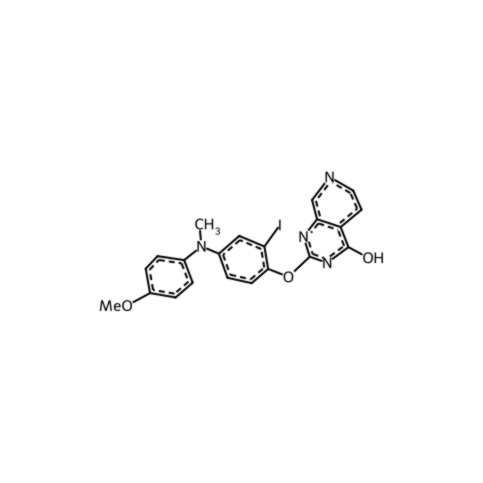 COc1ccc(N(C)c2ccc(Oc3nc(O)c4ccncc4n3)c(I)c2)cc1